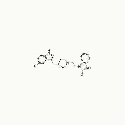 O=c1[nH]c2ccccc2n1CCN1CCC(Cc2c[nH]c3ccc(F)cc23)CC1